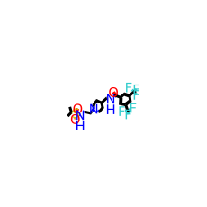 CC(C)S(=O)(=O)NCCN1CCC(CNC(=O)c2cc(C(F)(F)F)cc(C(F)(F)F)c2)CC1